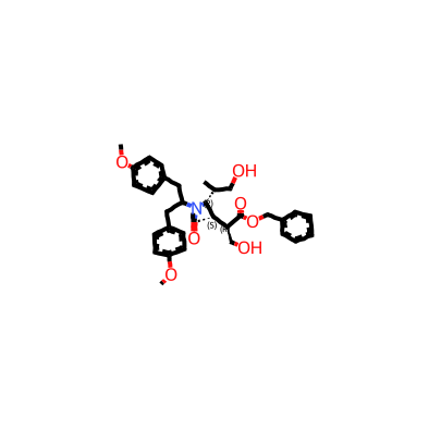 COc1ccc(CC(Cc2ccc(OC)cc2)N2C(=O)[C@@H]([C@H](CO)C(=O)OCc3ccccc3)[C@H]2C(C)CO)cc1